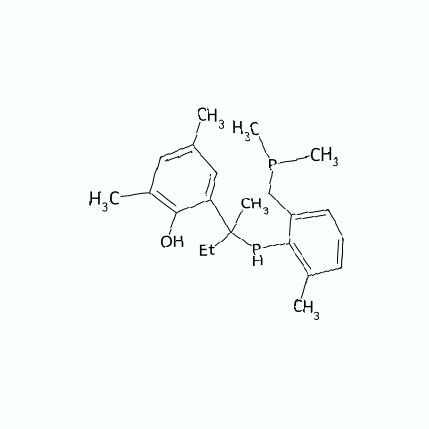 CCC(C)(Pc1c(C)cccc1CP(C)C)c1cc(C)cc(C)c1O